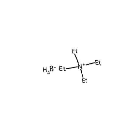 CC[N+](CC)(CC)CC.[BH4-]